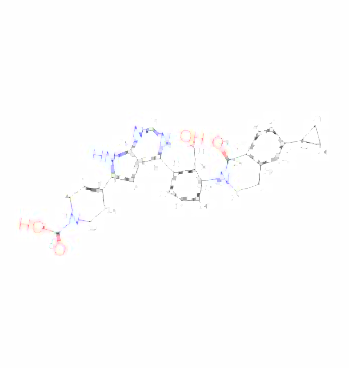 O=C(O)N1CC=C(c2cc3c(-c4cccc(N5CCc6cc(C7CC7)ccc6C5=O)c4CO)ncnc3[nH]2)CC1